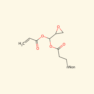 C=CC(=O)OC(OC(=O)CCCCCCCCCCC)C1CO1